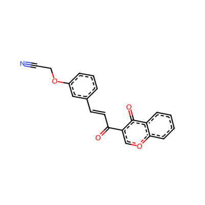 N#CCOc1cccc(C=CC(=O)c2coc3ccccc3c2=O)c1